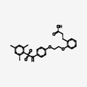 Cc1cc(C)c(S(=O)(=O)Nc2ccc(OCCOc3ccccc3CCC(=O)O)cc2)c(C)c1